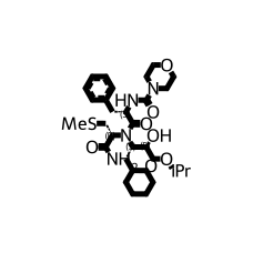 CSC[C@@H](C(N)=O)N(C(=O)[C@H](Cc1ccccc1)NC(=O)N1CCOCC1)[C@@H](CC1CCCCC1)[C@@H](O)C(=O)OC(C)C